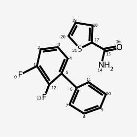 Fc1cccc(-c2ccccc2)c1F.NC(=O)c1cccs1